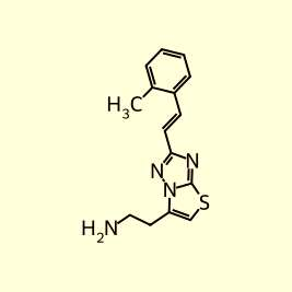 Cc1ccccc1C=Cc1nc2scc(CCN)n2n1